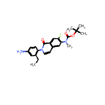 CCc1cc(N)ccc1-n1ccc2cc(N(C)C(=O)OC(C)(C)C)c(F)cc2c1=O